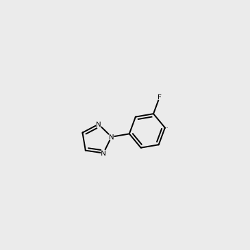 Fc1[c]ccc(-n2nccn2)c1